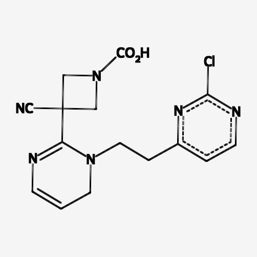 N#CC1(C2=NC=CCN2CCc2ccnc(Cl)n2)CN(C(=O)O)C1